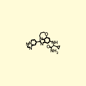 NC(=O)[C@@H](Nc1cc2c3c(c1)nc(-c1ccn4ncnc4c1)n3CCCO2)C1CC1